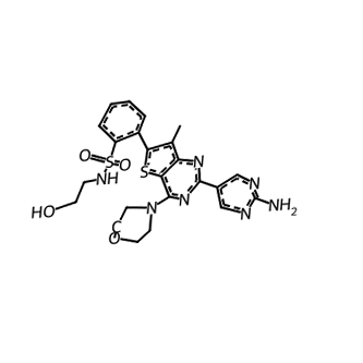 Cc1c(-c2ccccc2S(=O)(=O)NCCO)sc2c(N3CCOCC3)nc(-c3cnc(N)nc3)nc12